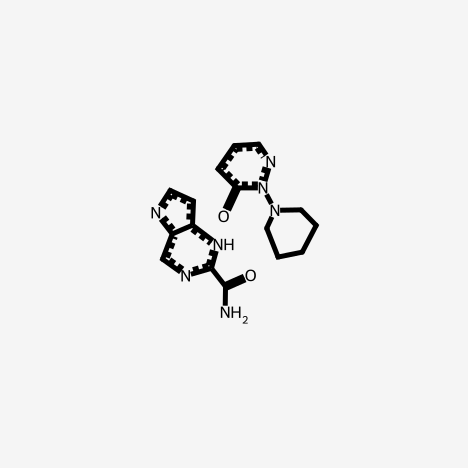 NC(=O)c1ncc2nccc-2[nH]1.O=c1cccnn1N1CCCCC1